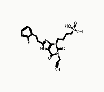 C#CCn1c(=O)c2[nH]c(CCc3ccccc3F)nc2n(CCCCP(=O)(O)O)c1=O